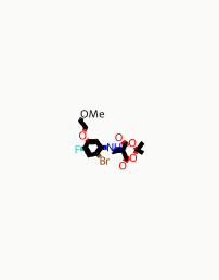 COCCOc1cc(NC=C2C(=O)OC(C)(C)OC2=O)c(Br)cc1F